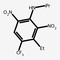 CCc1c(C(F)(F)F)cc([N+](=O)[O-])c(NC(C)C)c1[N+](=O)[O-]